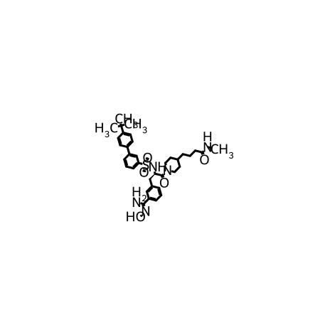 CNC(=O)CCCC1CCN(C(=O)[C@@H](Cc2cccc(/C(N)=N/O)c2)NS(=O)(=O)c2cccc(-c3ccc(C(C)(C)C)cc3)c2)CC1